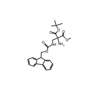 COC(=O)C(N)(CNC(=O)OCC1c2ccccc2-c2ccccc21)C(=O)OC(C)(C)C